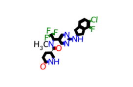 CN(C(=O)[C@H]1CCC(=O)NC1)C(c1cnc(NC2Cc3ccc(Cl)c(F)c3C2)nc1)C(F)(F)F